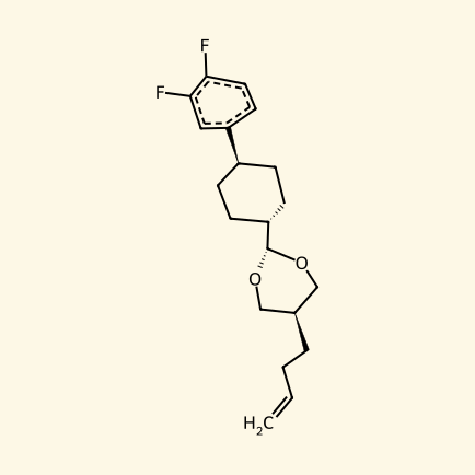 C=CCC[C@H]1CO[C@H]([C@H]2CC[C@H](c3ccc(F)c(F)c3)CC2)OC1